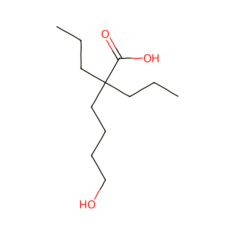 CCCC(CCC)(CCCCO)C(=O)O